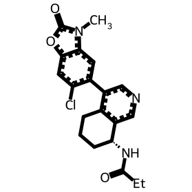 CCC(=O)N[C@@H]1CCCc2c(-c3cc4c(cc3Cl)oc(=O)n4C)cncc21